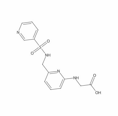 O=C(O)CNc1cccc(CNS(=O)(=O)c2cccnc2)n1